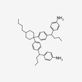 CCCCC1CCC(c2ccc(C(CCC)c3ccc(N)cc3)cc2)(c2ccc(C(CCC)c3ccc(N)cc3)cc2)CC1